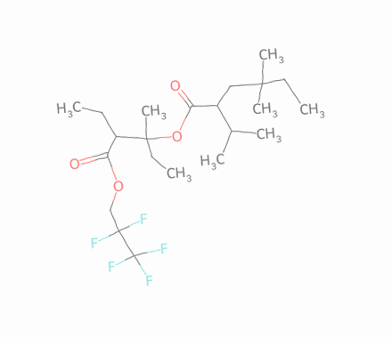 CCC(C(=O)OCC(F)(F)C(F)(F)F)C(C)(CC)OC(=O)C(CC(C)(C)CC)C(C)C